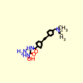 CCN(C)Cc1ccc(C#Cc2ccc(C(=O)N[C@@H](CN)C(=O)NO)cc2)cc1